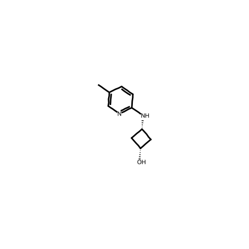 Cc1ccc(N[C@H]2C[C@@H](O)C2)nc1